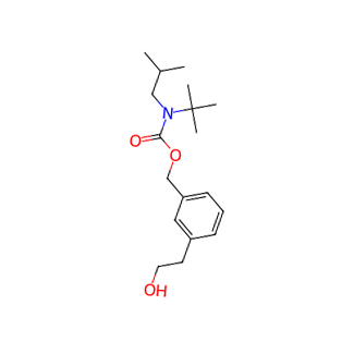 CC(C)CN(C(=O)OCc1cccc(CCO)c1)C(C)(C)C